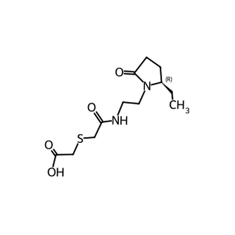 CC[C@@H]1CCC(=O)N1CCNC(=O)CSCC(=O)O